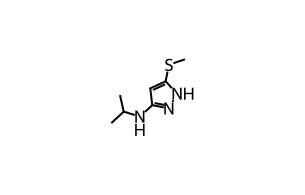 CSc1cc(NC(C)C)n[nH]1